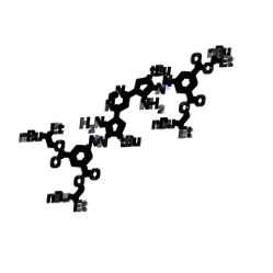 CCCCC(CC)COC(=O)c1cc(/N=N/C2=C(N)C(c3cc(C4C=C(C(C)(C)C)C(/N=N/c5cc(C(=O)OCC(CC)CCCC)cc(C(=O)OC(CC)CCCC)c5)=C4N)ncn3)C=C2C(C)(C)C)cc(C(=O)OCC(CC)CCCC)c1